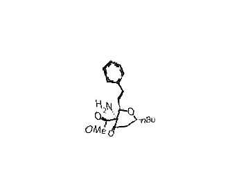 CCCC[C@@H]1CC(=O)[C@@](N)(C(=O)OC)[C@@H](/C=C/c2ccccc2)O1